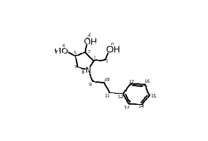 OCC1C(O)C(O)CN1CCCc1ccccc1